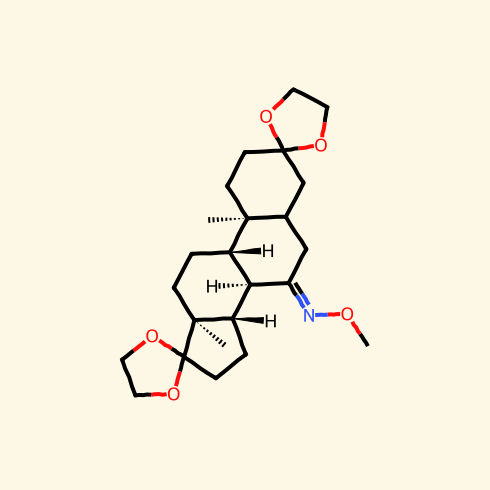 CO/N=C1\CC2CC3(CC[C@]2(C)[C@H]2CC[C@@]4(C)[C@@H](CCC45OCCO5)[C@H]12)OCCO3